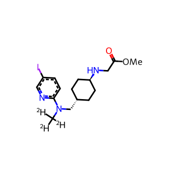 [2H]C([2H])([2H])N(C[C@H]1CC[C@H](NCC(=O)OC)CC1)c1ccc(I)cn1